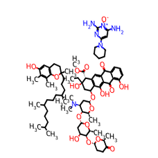 CC[C@@]1(O)C[C@H](O[C@H]2C[C@H](N(C)C)[C@H](O[C@H]3C[C@H](O)[C@H](O[C@H]4CCC(=O)[C@H](C)O4)[C@H](C)O3)[C@H](C)O2)c2c(cc3c(c2O)C(=O)c2c(O)cccc2C3=O)[C@H]1C(=O)OC.Cc1c(O)cc2c(c1C)OC(C)(CCCC(C)CCCC(C)CCCC(C)C)CC2.Nc1cc(N2CCCCC2)nc(N)[n+]1[O-]